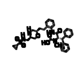 CN(C(=O)O)[C@H](C(=O)Nc1ccccc1CC[C@@H]1CN[C@H](CNS(=O)(=O)C2CC2)CO1)C(c1ccccc1)c1ccccc1